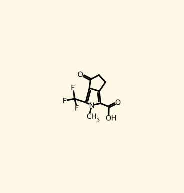 Cn1c(C(=O)O)c2c(c1C(F)(F)F)C(=O)CC2